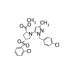 COC(=O)[C@@H]1C[C@@H](S(=O)(=O)c2ccccc2Cl)CN1c1cc(C)nn1Cc1ccc(Cl)cc1